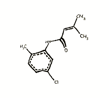 CC(C)=CC(=O)Nc1cc(Cl)ccc1C